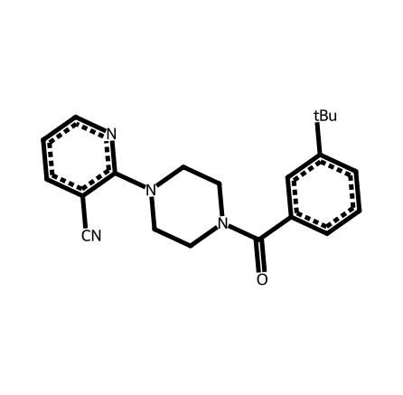 CC(C)(C)c1cccc(C(=O)N2CCN(c3ncccc3C#N)CC2)c1